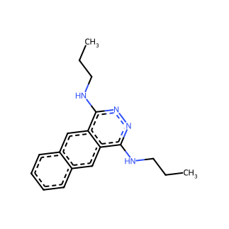 CCCNc1nnc(NCCC)c2cc3ccccc3cc12